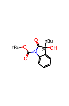 CCCC[C@]1(O)C(=O)N(C(=O)OC(C)(C)C)c2ccccc21